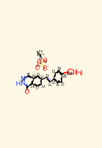 O=S(=O)([O-])[O-].O=c1[nH]ncc2cc(/C=C/c3ccc(O)cc3)ccc12.[K+].[K+]